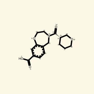 O=C(O)c1ccc2c(c1)OCCN(C(=O)[C@H]1CCCOC1)C2